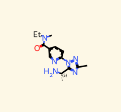 CCN(C)C(=O)c1ccc(-n2nc(C)nc2[C@H](C)N)nc1